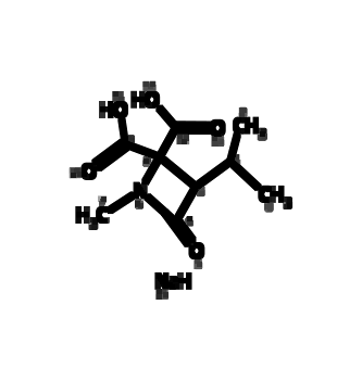 CC(C)C1C(=O)N(C)C1(C(=O)O)C(=O)O.[NaH]